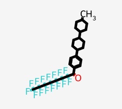 CC1CCC(C2CCC(c3ccc(C(=O)C(F)(F)C(F)(F)C(F)(F)C(F)(F)C(F)(F)C(F)(F)C(F)(F)F)cc3)CC2)CC1